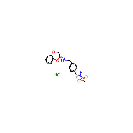 C[C@@H](NS(C)(=O)=O)c1ccc(CNC[C@H]2COc3ccccc3O2)cc1.Cl